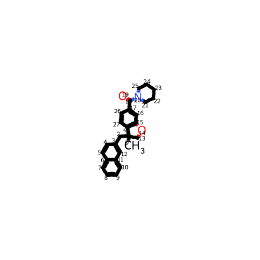 CC1(Cc2ccc3ccccc3c2)COc2cc(C(=O)N3CCCCC3)ccc21